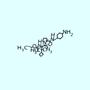 CCCOC(=O)N[C@H](C(=S)N1CCC[C@H]1C(=O)NCC1CCC(N)CC1)C(C)(C)C1CCC1